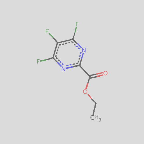 CCOC(=O)c1nc(F)c(F)c(F)n1